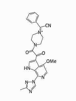 COc1cnc(-n2cnc(C)n2)c2[nH]cc(C(=O)C(=O)N3CC[N+](=C(C#N)c4ccccc4)CC3)c12